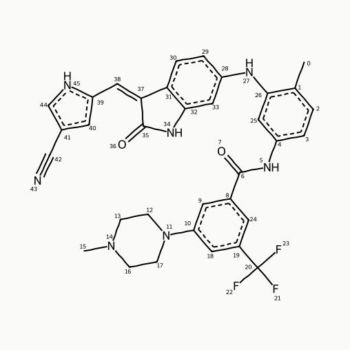 Cc1ccc(NC(=O)c2cc(N3CCN(C)CC3)cc(C(F)(F)F)c2)cc1Nc1ccc2c(c1)NC(=O)C2=Cc1cc(C#N)c[nH]1